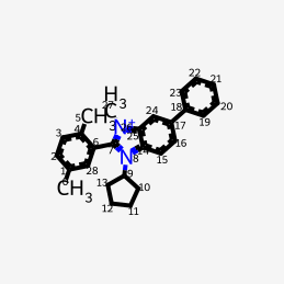 Cc1ccc(C)c(-c2n(C3CCCC3)c3ccc(-c4ccccc4)cc3[n+]2C)c1